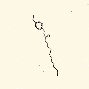 CCCCCCCCCCCC(=O)OCc1ccc(CC)cc1